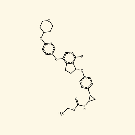 CCOC(=O)PC1C[C@@H]1c1ccc(O[C@@H]2CCc3c(Oc4ccc(OC5CCOCC5)cc4)ccc(F)c32)cc1